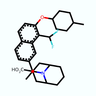 CC1CCC(Oc2ccc3ccc(C(C)N4C5CCCC4CC(C(=O)O)C5)cc3c2C(F)F)CC1